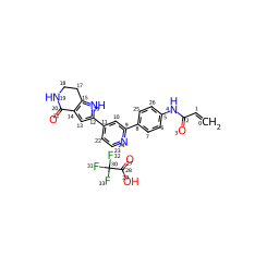 C=CC(=O)Nc1ccc(-c2cc(-c3cc4c([nH]3)CCNC4=O)ccn2)cc1.O=C(O)C(F)(F)F